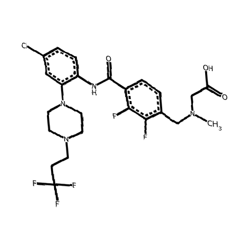 CN(CC(=O)O)Cc1ccc(C(=O)Nc2ccc(Cl)cc2N2CCN(CCC(F)(F)F)CC2)c(F)c1F